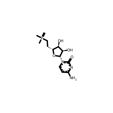 C=P(C)(C)CC[C@H]1O[C@@H](n2ccc(N)nc2=O)[C@H](O)[C@@H]1O